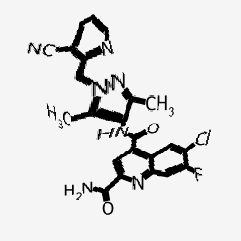 Cc1nn(Cc2ncccc2C#N)c(C)c1NC(=O)c1cc(C(N)=O)nc2cc(F)c(Cl)cc12